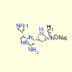 CO/N=C(\C)[C@@H]1CC[C@H](c2cc(N)n3ncc(-c4cn[nH]c4)c3n2)CN1